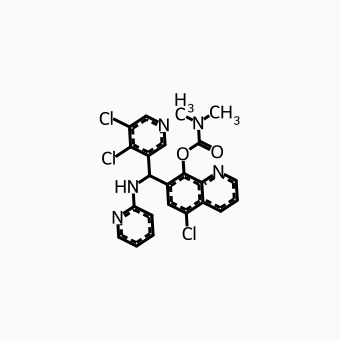 CN(C)C(=O)Oc1c(C(Nc2ccccn2)c2cncc(Cl)c2Cl)cc(Cl)c2cccnc12